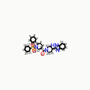 O=C([C@H]1CC[C@@H](c2ccccc2)N(S(=O)(=O)c2ccccc2)C1)N1CCC(c2nc3ccccc3[nH]2)CC1